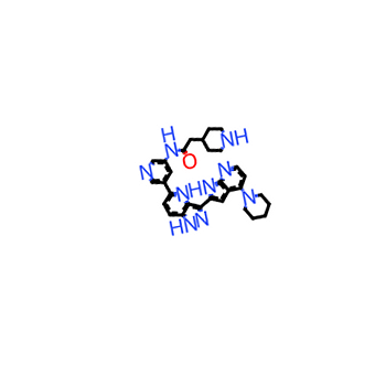 O=C(CC1CCNCC1)Nc1cncc(-c2ccc3[nH]nc(-c4cc5c(N6CCCCC6)ccnc5[nH]4)c3n2)c1